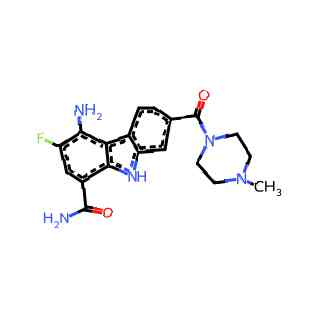 CN1CCN(C(=O)c2ccc3c(c2)[nH]c2c(C(N)=O)cc(F)c(N)c23)CC1